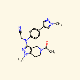 CC(=O)N1CCc2c(c(N(CC#N)c3ccc(-c4cnn(C)c4)cc3)nn2C)C1